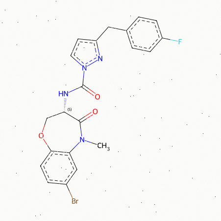 CN1C(=O)[C@@H](NC(=O)n2ccc(Cc3ccc(F)cc3)n2)COc2ccc(Br)cc21